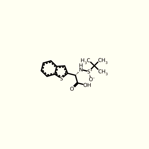 CC(C)(C)[S@+]([O-])N[C@H](C(=O)O)c1cc2ccccc2s1